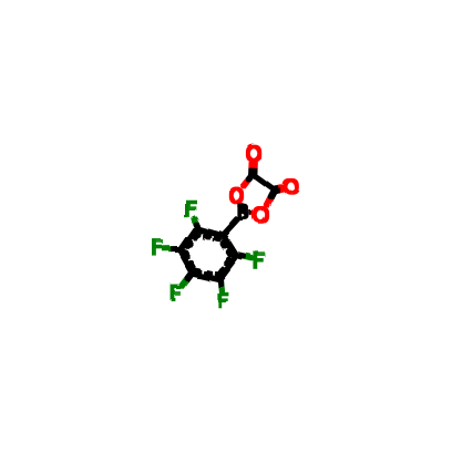 O=C1OB(c2c(F)c(F)c(F)c(F)c2F)OC1=O